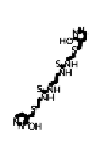 Oc1nnccc1CSCCNC(=S)NCCCNC(=S)NCCSCc1ccnnc1O